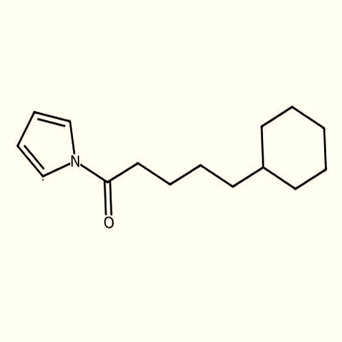 O=C(CCCCC1CCCCC1)n1[c]ccc1